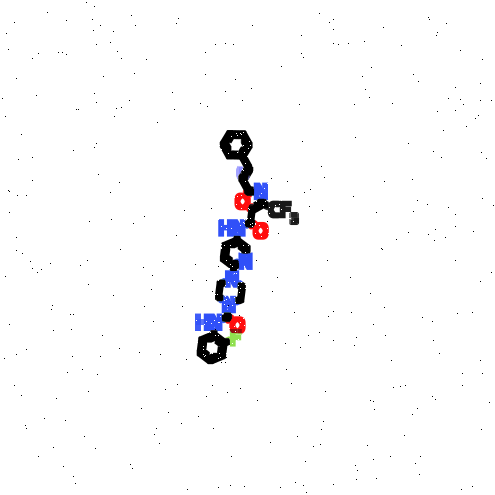 O=C(Nc1ccc(N2CCN(C(=O)Nc3ccccc3F)CC2)nc1)c1oc(/C=C/c2ccccc2)nc1C(F)(F)F